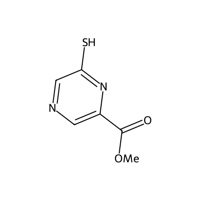 COC(=O)c1cncc(S)n1